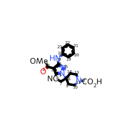 COC(=O)c1cn(C2(CC#N)CCN(C(=O)O)CC2)nc1Nc1ccccc1